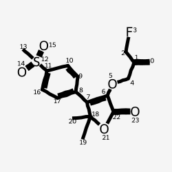 C=C(CF)COC1=C(c2ccc(S(C)(=O)=O)cc2)C(C)(C)OC1=O